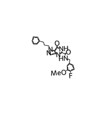 COc1cc(CNC(=O)c2nc3cnn(CCCc4ccccc4)c3c(=O)[nH]2)ccc1F